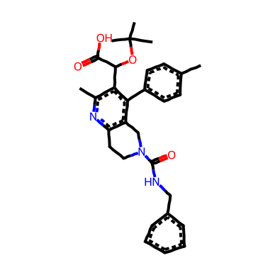 Cc1ccc(-c2c3c(nc(C)c2C(OC(C)(C)C)C(=O)O)CCN(C(=O)NCc2ccccc2)C3)cc1